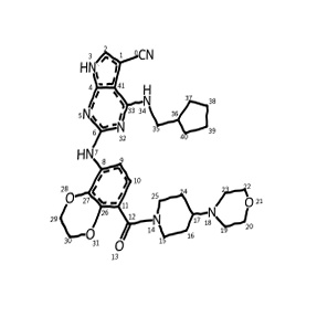 N#Cc1c[nH]c2nc(Nc3ccc(C(=O)N4CCC(N5CCOCC5)CC4)c4c3OCCO4)nc(NCC3CCCC3)c12